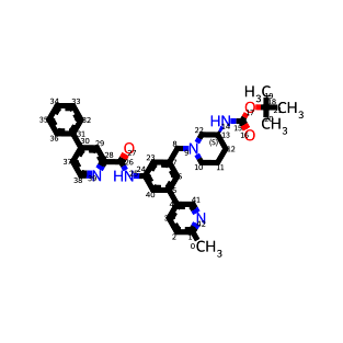 Cc1ccc(-c2cc(CN3CCC[C@H](NC(=O)OC(C)(C)C)C3)cc(NC(=O)c3cc(-c4ccccc4)ccn3)c2)cn1